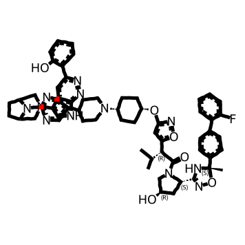 CC(C)[C@@H](C(=O)N1C[C@H](O)C[C@H]1C1=NO[C@@](C)(c2ccc(-c3ccccc3F)cc2)N1)c1cc(O[C@H]2CC[C@@H](N3CCC(c4cnc(N5C6CCC5CN(c5c[nH]c7nnc(-c8ccccc8O)cc57)C6)nc4)CC3)CC2)no1